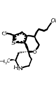 C[C@H]1C[C@@]2(CCN1)OCC(CCO)c1cc(Cl)sc12